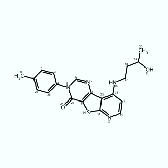 Cc1ccc(-n2cnc3c(sc4nccc(NCCC(C)O)c43)c2=O)cc1